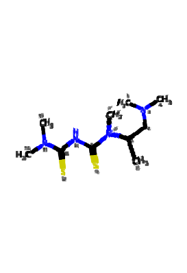 CC(CN(C)C)N(C)C(=S)NC(=S)N(C)C